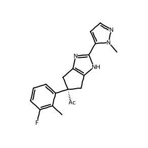 CC(=O)[C@]1(c2cccc(F)c2C)Cc2nc(-c3ccnn3C)[nH]c2C1